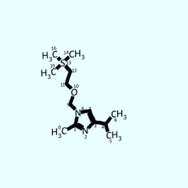 Cc1nc(C(C)C)cn1COCCS(C)(C)C